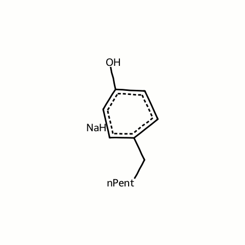 CCCCCCc1ccc(O)cc1.[NaH]